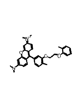 Cc1ccccc1OCCOc1cc(-c2c3ccc(=[N+](C)C)cc-3oc3cc(N(C)C)ccc23)ccc1C